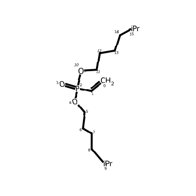 C=CP(=O)(OCCCCC(C)C)OCCCCC(C)C